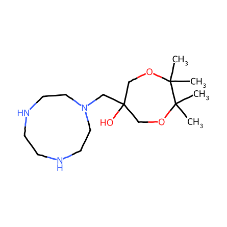 CC1(C)OCC(O)(CN2CCNCCNCC2)COC1(C)C